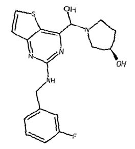 OC(c1nc(NCc2cccc(F)c2)nc2ccsc12)N1CC[C@@H](O)C1